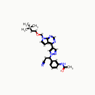 CC(=O)Nc1cccc(C(CC#N)n2cc(-c3ncnc4c3ccn4COCC[Si](C)(C)C)cn2)c1